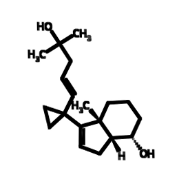 CC(C)(O)CC=CC1(C2=CC[C@H]3[C@@H](O)CCC[C@@]23C)CC1